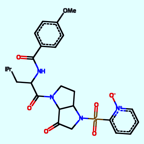 COc1ccc(C(=O)NC(CC(C)C)C(=O)N2CCC3C2C(=O)CN3S(=O)(=O)c2cccc[n+]2[O-])cc1